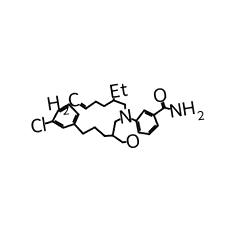 C=CCCC(CC)CN1CC(CCCc2cccc(Cl)c2)COc2ccc(C(N)=O)cc21